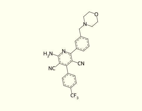 N#Cc1c(N)nc(-c2cccc(CN3CCOCC3)c2)c(C#N)c1-c1ccc(C(F)(F)F)cc1